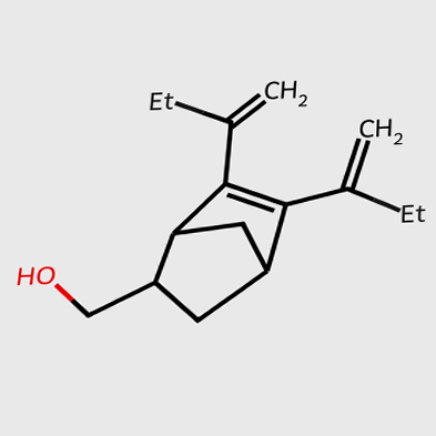 C=C(CC)C1=C(C(=C)CC)C2CC1CC2CO